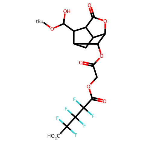 CC(C)(C)OC(O)C1C2CC3C(OC(=O)C31)C2OC(=O)COC(=O)C(F)(F)C(F)(F)C(F)(F)C(=O)O